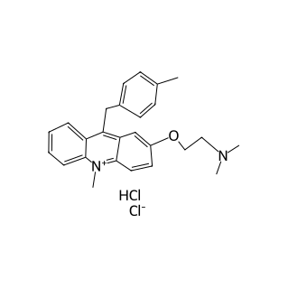 Cc1ccc(Cc2c3ccccc3[n+](C)c3ccc(OCCN(C)C)cc23)cc1.Cl.[Cl-]